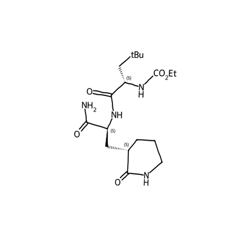 CCOC(=O)N[C@@H](CC(C)(C)C)C(=O)N[C@@H](C[C@@H]1CCCNC1=O)C(N)=O